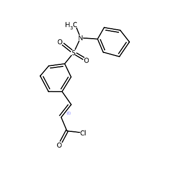 CN(c1ccccc1)S(=O)(=O)c1cccc(/C=C/C(=O)Cl)c1